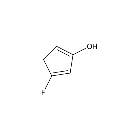 OC1=CCC(F)=C1